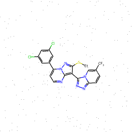 CCSc1nn2c(-c3cc(Cl)cc(Cl)c3)ccnc2c1-c1nnc2ccc(C(F)(F)F)cn12